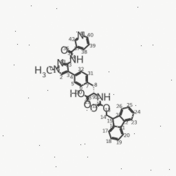 Cn1cc(-c2ccc(C[C@H](NC(=O)OCC3c4ccccc4-c4ccccc43)C(=O)O)cc2)c(NC(=O)c2cccnc2)n1